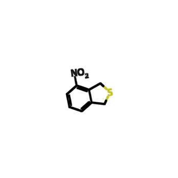 O=[N+]([O-])c1cccc2c1CSC2